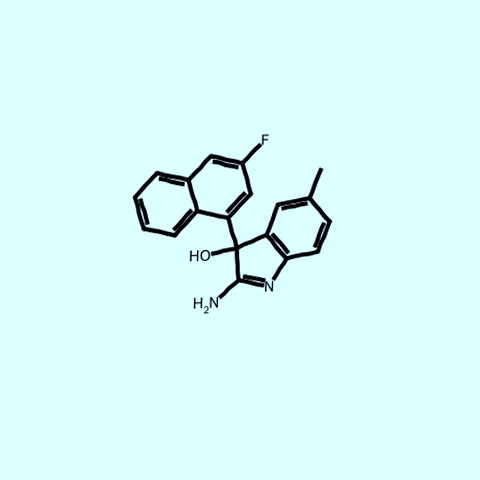 Cc1ccc2c(c1)C(O)(c1cc(F)cc3ccccc13)C(N)=N2